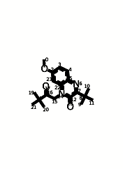 COc1ccc2nc(C(C)(C)C)c(=O)n(CC(=O)C(C)(C)C)c2c1